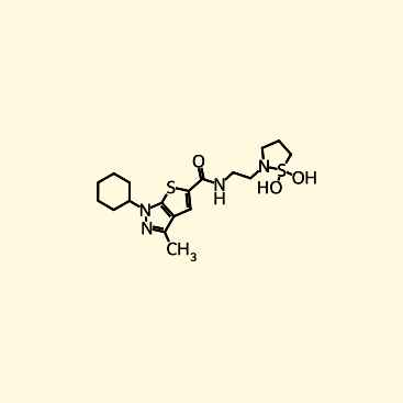 Cc1nn(C2CCCCC2)c2sc(C(=O)NCCN3CCCS3(O)O)cc12